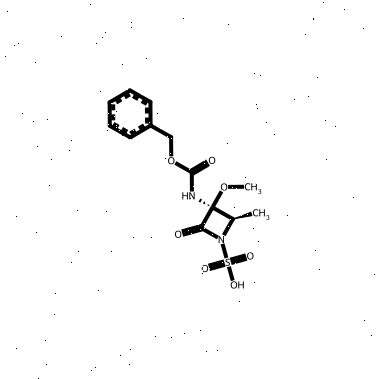 CO[C@]1(NC(=O)OCc2ccccc2)C(=O)N(S(=O)(=O)O)[C@@H]1C